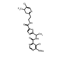 CNc1ncnc(C(=O)NC(C)c2ncc(C(=O)NCCC3=NC=C(Cl)C(C(F)(F)F)C3)s2)c1Cl